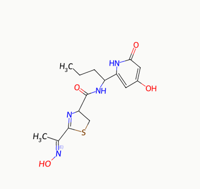 CCCC(NC(=O)C1CSC(/C(C)=N/O)=N1)c1cc(O)cc(=O)[nH]1